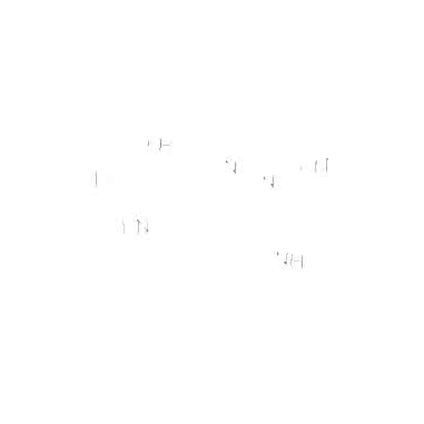 Cn1nc2c(c1N)CNC2(C)C